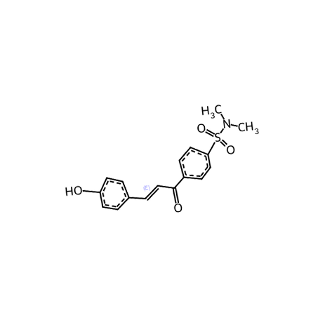 CN(C)S(=O)(=O)c1ccc(C(=O)/C=C/c2ccc(O)cc2)cc1